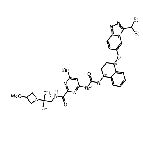 CCC(CC)c1nnc2ccc(O[C@@H]3CC[C@H](NC(=O)Nc4cc(C(C)(C)C)nc(C(=O)NCC(C)(C)N5CC(OC)C5)n4)c4ccccc43)cn12